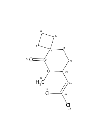 CC1C(=O)C2(CCC2)CCC1C=C(Cl)Cl